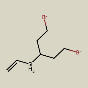 C=C[SiH2]C(CCBr)CCBr